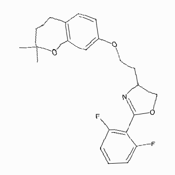 CC1(C)CCc2ccc(OCCC3COC(c4c(F)cccc4F)=N3)cc2O1